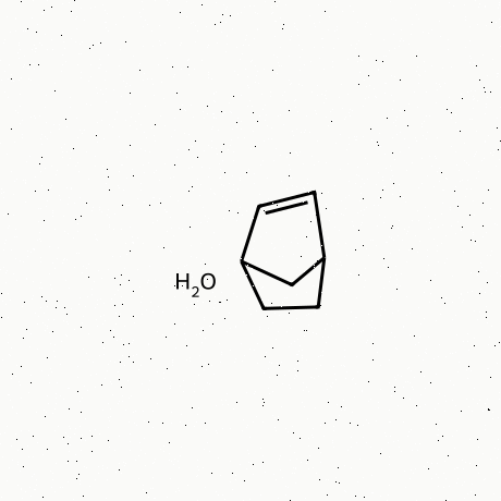 C1=CC2CCC1C2.O